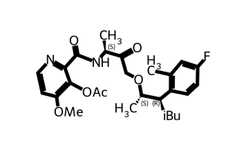 CCC(C)[C@H](c1ccc(F)cc1C)[C@H](C)OCC(=O)[C@H](C)NC(=O)c1nccc(OC)c1OC(C)=O